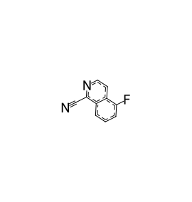 N#Cc1nccc2c(F)cccc12